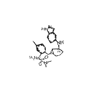 Cc1ccc(CN2CCC[C@H](Nc3ccc4[nH]ncc4c3)C2)c(N(N)S(=O)(=O)N(C)C)c1